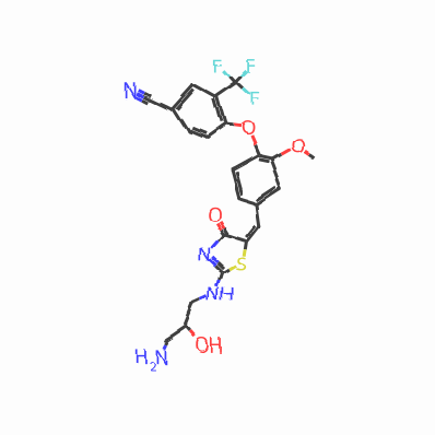 COc1cc(C=C2SC(NCC(O)CN)=NC2=O)ccc1Oc1ccc(C#N)cc1C(F)(F)F